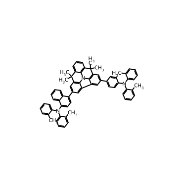 Cc1ccccc1N(c1ccc(-c2cc3c4c(c2)c2cc(-c5ccc(N(c6ccccc6C)c6ccccc6C)c6ccccc56)cc5c2n4-c2c(cccc2C5(C)C)C3(C)C)cc1)c1ccccc1C